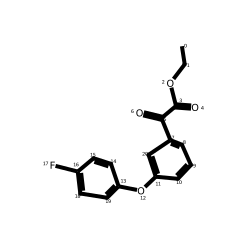 CCOC(=O)C(=O)c1cccc(Oc2ccc(F)cc2)c1